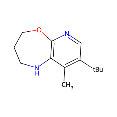 Cc1c(C(C)(C)C)cnc2c1NCCCO2